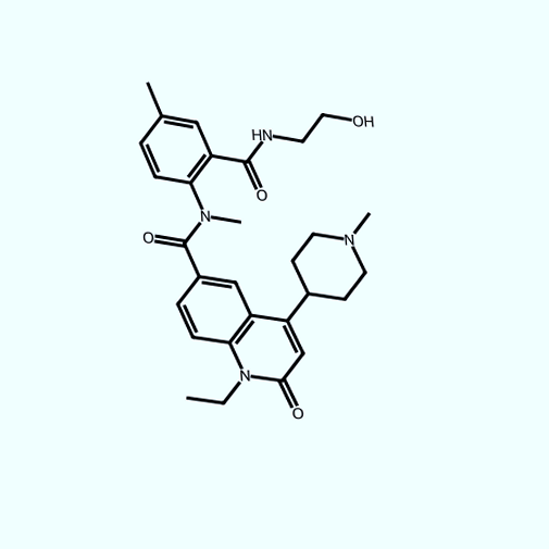 CCn1c(=O)cc(C2CCN(C)CC2)c2cc(C(=O)N(C)c3ccc(C)cc3C(=O)NCCO)ccc21